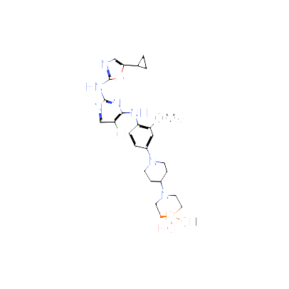 COc1cc(N2CCC(N3CC[PH](C)(O)CC3)CC2)ccc1Nc1nc(Nc2ncc(C3CC3)o2)ncc1Cl